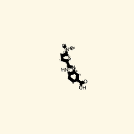 O=C(O)c1ccc2[nH]c(-c3ccc([N+](=O)[O-])s3)nc2c1